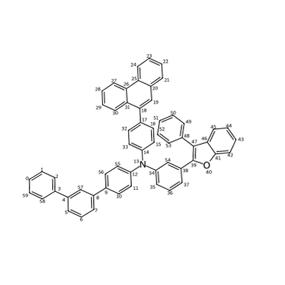 c1ccc(-c2cccc(-c3ccc(N(c4ccc(-c5cc6ccccc6c6ccccc56)cc4)c4cccc(-c5oc6ccccc6c5-c5ccccc5)c4)cc3)c2)cc1